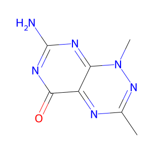 Cc1nc2c(=O)nc(N)nc-2n(C)n1